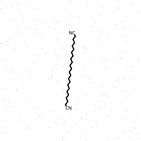 N#CCCCCCCCCCCCCCCCCCCCCCCC#N